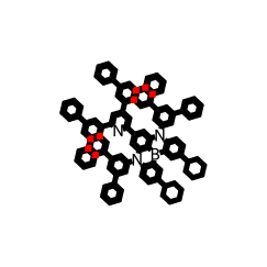 c1ccc(-c2cc(-c3ccccc3)cc(-c3cc(-c4cc(-c5ccccc5)cc(-c5ccccc5)c4)nc(-c4cc5c6c(c4)N(c4cc(-c7ccccc7)cc(-c7ccccc7)c4)c4ccc(C7CCCCC7)cc4B6c4cc(C6CCCCC6)ccc4N5c4cc(-c5ccccc5)cc(-c5ccccc5)c4)c3)c2)cc1